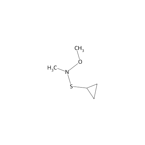 CON(C)SC1CC1